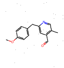 COc1ccc(Cc2cc(C=O)c(C)cn2)cc1